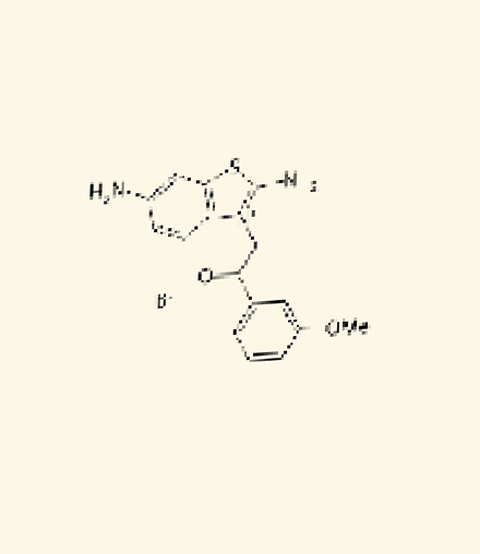 COc1cccc(C(=O)C[n+]2c(N)sc3cc(N)ccc32)c1.[Br-]